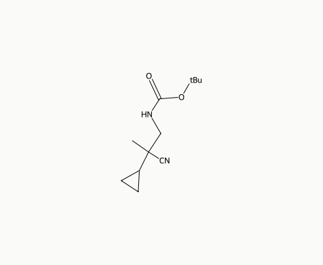 CC(C)(C)OC(=O)NCC(C)(C#N)C1CC1